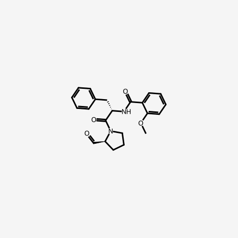 COc1ccccc1C(=O)N[C@@H](Cc1ccccc1)C(=O)N1CCC[C@H]1C=O